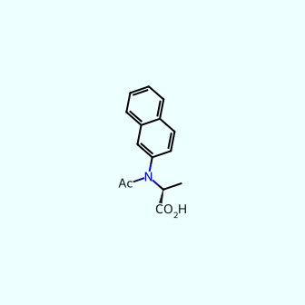 CC(=O)N(c1ccc2ccccc2c1)[C@@H](C)C(=O)O